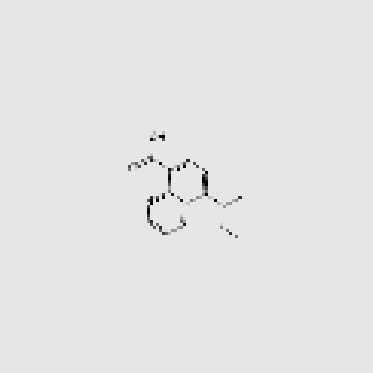 CCC(C)c1ccc(C(=O)O)c2ncccc12